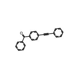 O=C(c1ccccc1)c1ccc(C#Cc2ccccc2)cc1